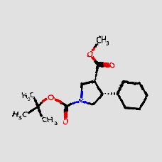 COC(=O)[C@@H]1CN(C(=O)OC(C)(C)C)C[C@H]1C1CCCCC1